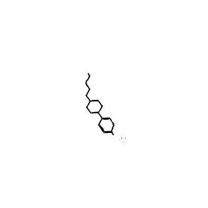 COC1C=CC(C2CCC(CCCCC(F)(F)F)CC2)=CC1